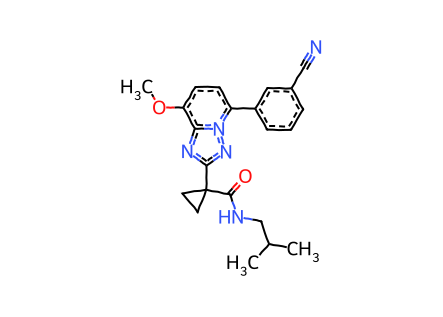 COc1ccc(-c2cccc(C#N)c2)n2nc(C3(C(=O)NCC(C)C)CC3)nc12